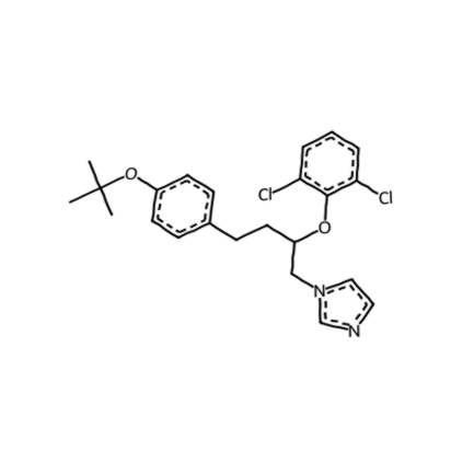 CC(C)(C)Oc1ccc(CCC(Cn2ccnc2)Oc2c(Cl)cccc2Cl)cc1